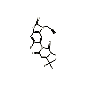 C#CCn1c(=O)oc2cc(F)c(-n3c(=O)cc(C(F)(F)F)n(C)c3=O)cc21